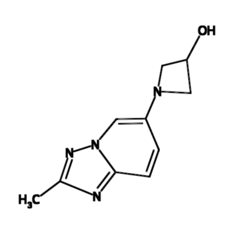 Cc1nc2ccc(N3CC(O)C3)cn2n1